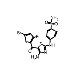 Nc1nc(Nc2ccc(S(N)(=O)=O)cc2)sc1C(=O)c1sc(Br)cc1Br